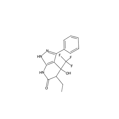 CCC1C(=O)Nc2[nH]nc(-c3ccccc3)c2C1(O)C(F)(F)F